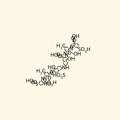 Cc1cc(/N=N/c2cc(S(=O)(=O)O)ccc2SOOO)c(OCCO)c(/N=N/c2c(SOOO)cc3cc(Nc4ccc5c(O)c(/N=N/c6cc(C)cc(/N=N/c7cc(SOOO)ccc7S(=O)(=O)O)c6OCCO)c(S(=O)(=O)O)cc5c4)ccc3c2O)c1